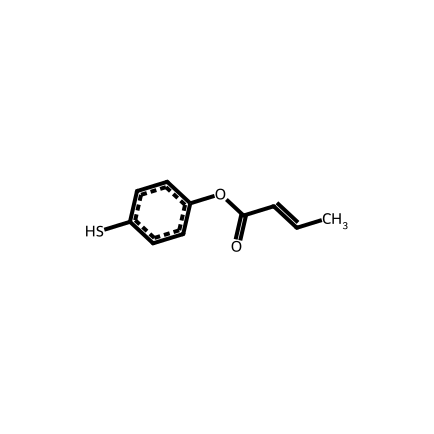 CC=CC(=O)Oc1ccc(S)cc1